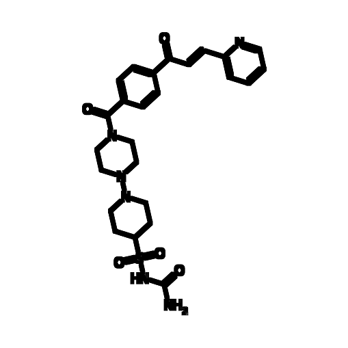 NC(=O)NS(=O)(=O)C1CCN(N2CCN(C(=O)c3ccc(C(=O)C=Cc4ccccn4)cc3)CC2)CC1